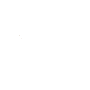 [18F]CCBr